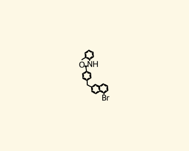 Cc1ccccc1NC(=O)c1ccc(Cc2ccc3c(Br)cccc3c2)cc1